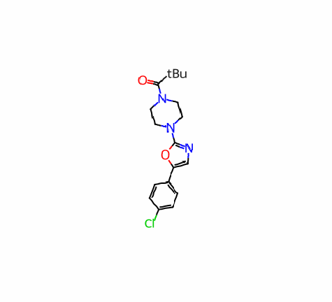 CC(C)(C)C(=O)N1CCN(c2ncc(-c3ccc(Cl)cc3)o2)CC1